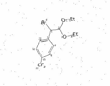 CCOC(OCC)C(Br)c1ccc(C(F)(F)F)cc1